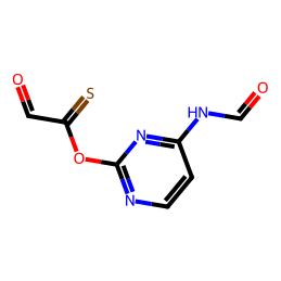 O=CNc1ccnc(OC(=S)C=O)n1